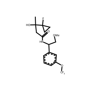 COCC(NC(=O)CC(C)(O)C1(F)CC1)c1cccc(OC(F)(F)F)c1